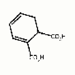 O=C(O)C1=CC=CCC1C(=O)O